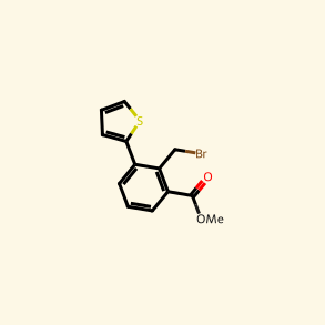 COC(=O)c1cccc(-c2cccs2)c1CBr